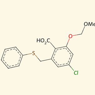 COCOc1cc(Cl)cc(CSc2ccccc2)c1C(=O)O